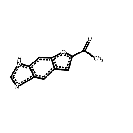 CC(=O)c1cc2cc3nc[nH]c3cc2o1